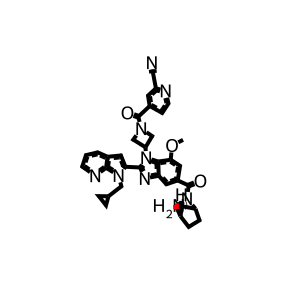 COc1cc(C(=O)N2CC3CCC2[C@@H]3N)cc2nc(-c3cc4cccnc4n3CC3CC3)n(C3CN(C(=O)c4ccnc(C#N)c4)C3)c12